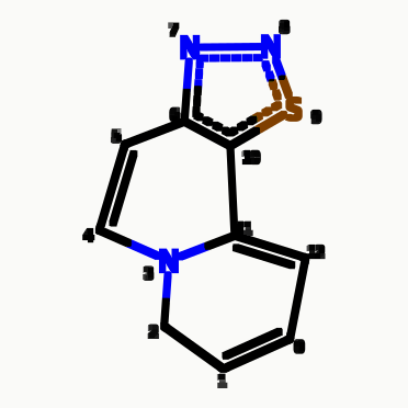 C1=CCN2C=Cc3nnsc3C2=C1